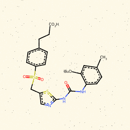 Cc1ccc(NC(=O)Nc2ncc(CS(=O)(=O)c3ccc(CCC(=O)O)cc3)s2)c(OCC(C)C)c1